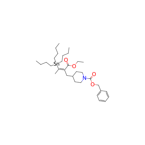 CCC[CH2][Sn]([CH2]CCC)([CH2]CCC)/[C](C)=C(/CC1CCN(C(=O)OCc2ccccc2)CC1)C(=O)OCC